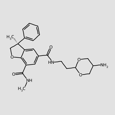 CNC(=O)c1cc(C(=O)NCCC2OCC(N)CO2)cc2c1OC[C@@]2(C)c1ccccc1